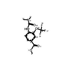 COC(=O)c1ccc(NC(=O)N(C)C)c(OC(F)(F)F)c1